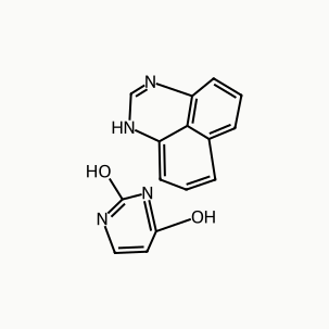 C1=Nc2cccc3cccc(c23)N1.Oc1ccnc(O)n1